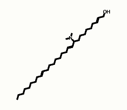 CCCCCCCCC=CCCCCCCCC=CC(CCCCCCC=CCO)N(C)C